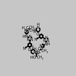 CC(C)(C)n1cc(Nc2ncnc(-c3ccc(O[C@H]4CCNC[C@H]4F)c(C#N)c3)n2)cn1.CC(O)C(=O)N1CC[C@H](Oc2ccc(-c3ncnc(Nc4cnn(C(C)(C)C)c4)n3)cc2C#N)[C@H](F)C1